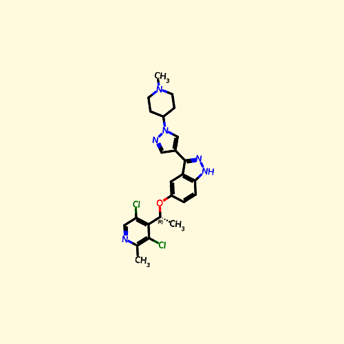 Cc1ncc(Cl)c([C@@H](C)Oc2ccc3[nH]nc(-c4cnn(C5CCN(C)CC5)c4)c3c2)c1Cl